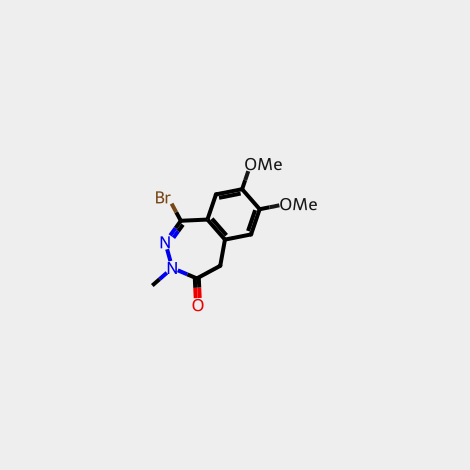 COc1cc2c(cc1OC)C(Br)=NN(C)C(=O)C2